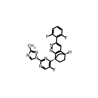 Cc1ncn(-c2ncc(F)c([C@]34CC[C@H](CC3)c3cc(-c5c(F)cccc5F)nnc34)n2)n1